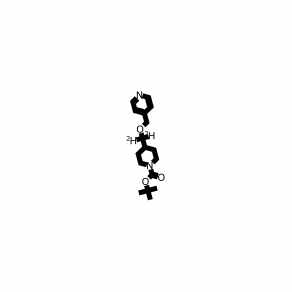 [2H]C([2H])(OCc1ccncc1)C1CCN(C(=O)OC(C)(C)C)CC1